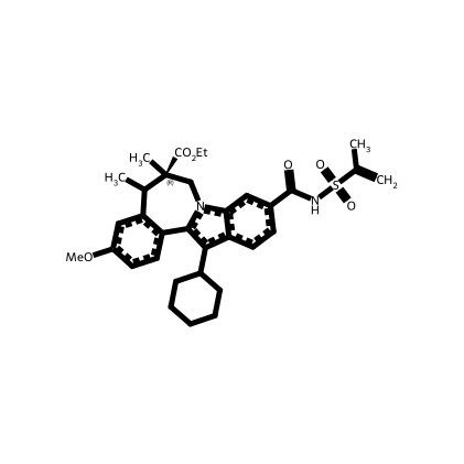 C=C(C)S(=O)(=O)NC(=O)c1ccc2c(C3CCCCC3)c3n(c2c1)C[C@](C)(C(=O)OCC)C(C)c1cc(OC)ccc1-3